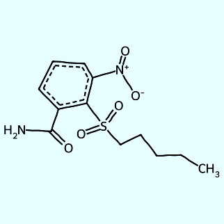 CCCCCS(=O)(=O)c1c(C(N)=O)cccc1[N+](=O)[O-]